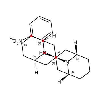 C[C@@H]1C[C@@H]2C[C@H](C1)C[C@H](N1[C@@H]3CCC[C@H]1C[C@H](Nc1ccccc1[N+](=O)[O-])C3)C2